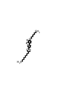 CCCCCCCCCCC1COC(c2ccc(-c3ccc(OCCCCCCCC)c(F)c3F)nc2)OC1